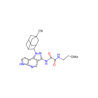 COCCNC(=O)C(=O)Nc1nn(C2C3CC4CC2CC(C#N)(C4)C3)c2c1cnc1[nH]ccc12